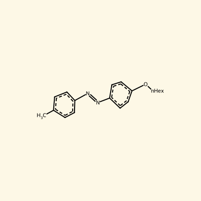 CCCCCCOc1ccc(N=Nc2ccc(C)cc2)cc1